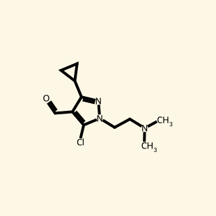 CN(C)CCn1nc(C2CC2)c(C=O)c1Cl